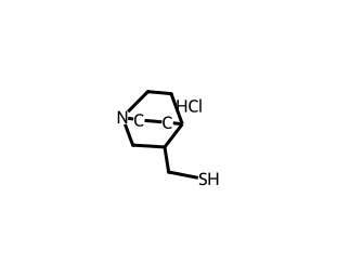 Cl.SCC1CN2CCC1CC2